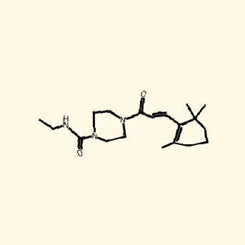 CCNC(=O)N1CCN(C(=O)C=CC2=C(C)CCCC2(C)C)CC1